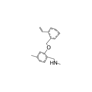 C=Cc1ccccc1COc1cc(C)ccc1CNC